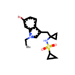 CC(C)(C)Cn1cc(CC2(NS(=O)(=O)C3CC3)CC2)c2ccc(Br)cc21